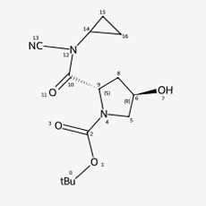 CC(C)(C)OC(=O)N1C[C@H](O)C[C@H]1C(=O)N(C#N)C1CC1